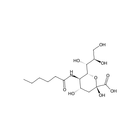 CCCCCC(=O)N[C@H]1[C@H]([C@H](O)[C@H](O)CO)O[C@](O)(C(=O)O)C[C@@H]1O